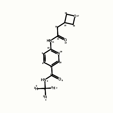 [2H]C([2H])([2H])NC(=O)c1ccc(NC(=O)CC2COC2)nc1